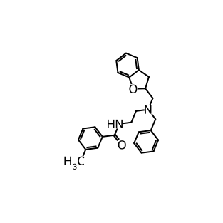 Cc1cccc(C(=O)NCCN(Cc2ccccc2)CC2Cc3ccccc3O2)c1